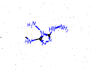 CNc1nnc(NN)n1N